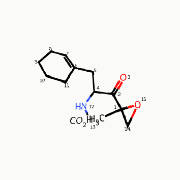 CC1(C(=O)C(CC2=CCCCC2)NC(=O)O)CO1